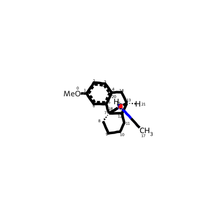 COc1ccc2c(c1)[C@]13CCCC[C@@H]1[C@H](C2)CN(C)CC3